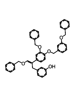 Oc1cccc(C/C(=C\OCc2ccccc2)c2ccc(OCc3cccc(OCc4ccccc4)c3)c(OCc3ccccc3)c2)c1